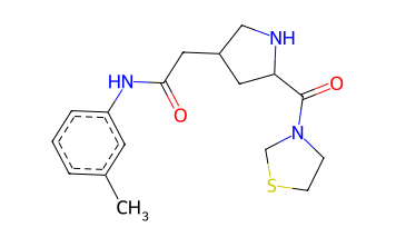 Cc1cccc(NC(=O)CC2CNC(C(=O)N3CCSC3)C2)c1